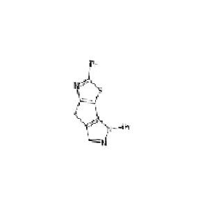 CC(C)c1nc2c(s1)-c1c(cnn1C(C)C)C2